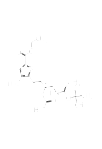 CCOC(=O)c1cc(C)c(CC[C@@H](CNC(=O)OC(C)(C)C)SC(C)=O)s1